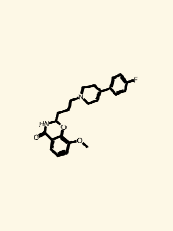 COc1cccc2c1OC(CCCN1CC=C(c3ccc(F)cc3)CC1)NC2=O